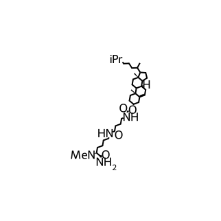 CN[C@H](CCCCNC(=O)CCCNC(=O)O[C@H]1CC[C@@]2(C)C(=CC[C@H]3C4CCC(C(C)CCCC(C)C)[C@@]4(C)CCC32)C1)C(N)=O